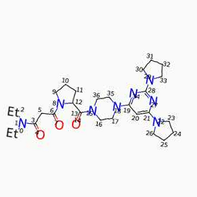 CCN(CC)C(=O)CC(=O)N1CCCC1C(=O)N1CCN(c2cc(N3CCCC3)nc(N3CCCC3)n2)CC1